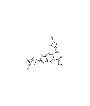 COC(=O)c1cn2cc(C34COC(C)(C3)C4)nc2cc1OC1CC(C)C1